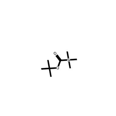 CC(C)(C)OC(=O)[Si](C)(C)C